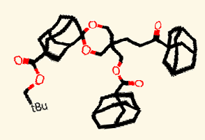 CC(C)(C)COC(=O)C12CC3CC(C1)C1(OCC(CCC(=O)C45CC6CC(CC(C6)C4)C5)(COC(=O)C45CC6CC(CC(C6)C4)C5)CO1)C(C3)C2